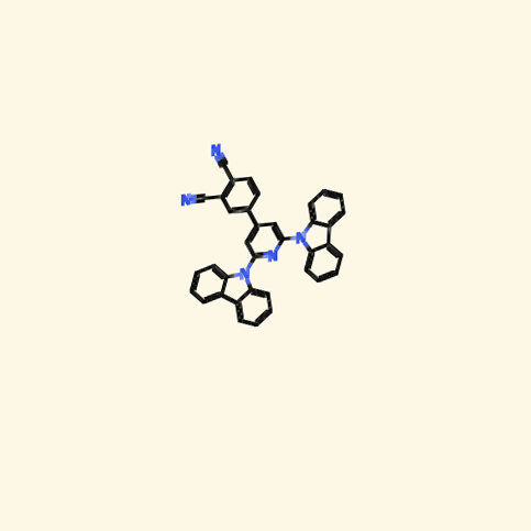 N#Cc1ccc(-c2cc(-n3c4ccccc4c4ccccc43)nc(-n3c4ccccc4c4ccccc43)c2)cc1C#N